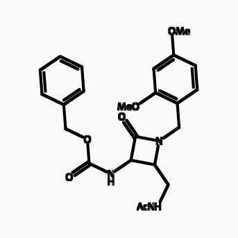 COc1ccc(CN2C(=O)C(NC(=O)OCc3ccccc3)C2CNC(C)=O)c(OC)c1